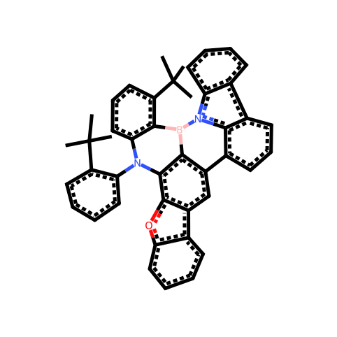 CC(C)(C)c1ccccc1N1c2cccc(C(C)(C)C)c2B2c3c(cc4c(oc5ccccc54)c31)-c1cccc3c4ccccc4n2c13